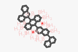 Bc1c(-c2c3c(B)c(B)c(B)c(B)c3c(-c3cc4ccccc4c4ccccc34)c3c(B)c(B)c(B)c(B)c23)c(B)c2c(B)c(B)c(-c3cccc4ccccc34)c(B)c2c1B